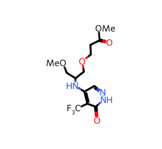 COCC(COCCC(=O)OC)Nc1cn[nH]c(=O)c1C(F)(F)F